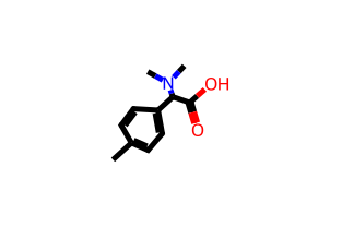 Cc1ccc(C(C(=O)O)N(C)C)cc1